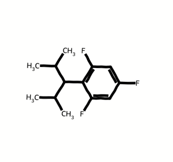 CC(C)C(c1c(F)cc(F)cc1F)C(C)C